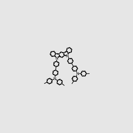 Cc1ccc(N(c2ccc(C)cc2)c2ccc(-c3ccc(-n4c5ccccc5c5cc6c7ccccc7n(-c7ccc(-c8ccc(N(c9ccc(C)cc9)c9ccc(C)cc9)cc8)cc7)c6cc54)cc3)cc2)cc1